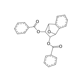 O=C(OC1C2OC(c3ccccc32)C1OC(=O)c1ccccc1)c1ccccc1